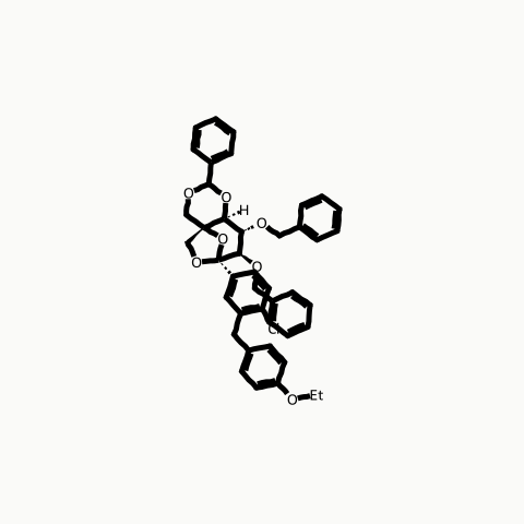 CCOc1ccc(Cc2cc([C@@]34OC[C@]5(COC(c6ccccc6)O[C@H]5[C@H](OCc5ccccc5)[C@H]3OCc3ccccc3)O4)ccc2Cl)cc1